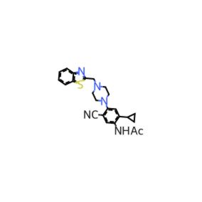 CC(=O)Nc1cc(C#N)c(N2CCN(Cc3nc4ccccc4s3)CC2)cc1C1CC1